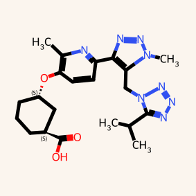 Cc1nc(-c2nnn(C)c2Cn2nnnc2C(C)C)ccc1O[C@H]1CCC[C@H](C(=O)O)C1